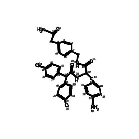 NC(=O)Cc1ccc(CNC(=O)C(Cc2ccc(N)nc2)NC(=O)C(c2ccc(Cl)cc2)c2ccc(Cl)cc2)cc1